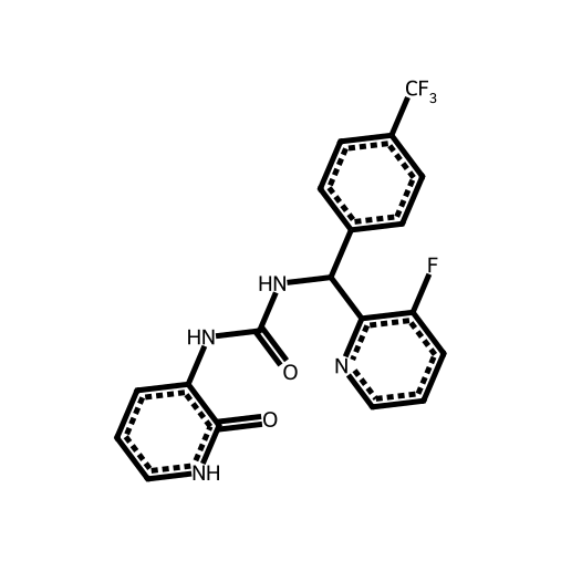 O=C(Nc1ccc[nH]c1=O)NC(c1ccc(C(F)(F)F)cc1)c1ncccc1F